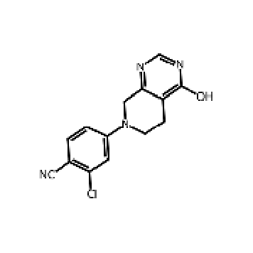 N#Cc1ccc(N2CCc3c(O)ncnc3C2)cc1Cl